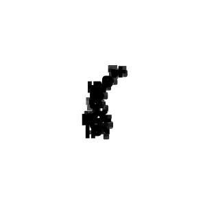 Cc1c(F)c(C(=O)N(C)C)c2[nH]ncc2c1-c1ccn2nc(NCOC[C@@H]3C[C@@H]3F)cc2c1